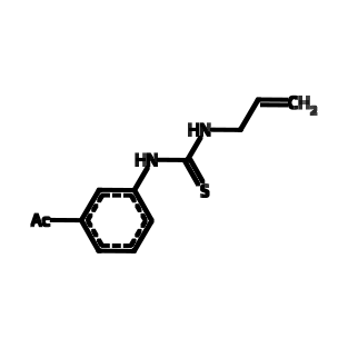 C=CCNC(=S)Nc1cccc(C(C)=O)c1